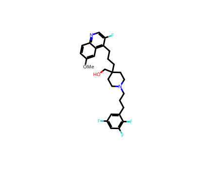 COc1ccc2ncc(F)c(CCCC3(CO)CCN(CCCc4cc(F)cc(F)c4F)CC3)c2c1